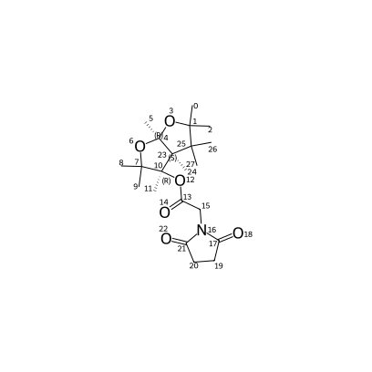 CC1(C)O[C@]2(C)OC(C)(C)[C@](C)(OC(=O)CN3C(=O)CCC3=O)[C@]2(C)C1(C)C